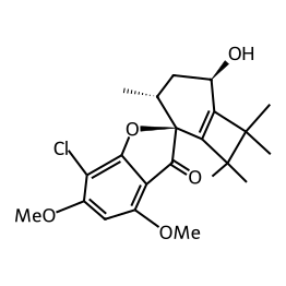 COc1cc(OC)c2c(c1Cl)O[C@]1(C2=O)C2=C([C@H](O)C[C@H]1C)C(C)(C)C2(C)C